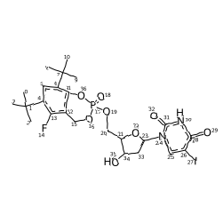 CC(C)(C)c1cc(C(C)(C)C)c2c(c1F)COP(=O)(OCC1OC(n3cc(I)c(=O)[nH]c3=O)CC1O)O2